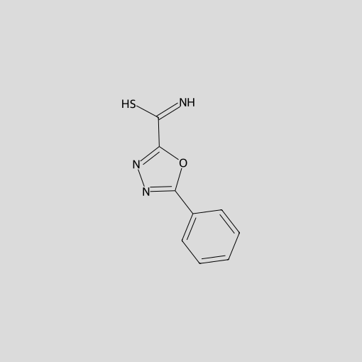 N=C(S)c1nnc(-c2ccccc2)o1